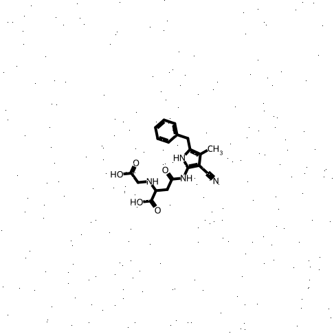 Cc1c(Cc2ccccc2)[nH]c(NC(=O)CC(NCC(=O)O)C(=O)O)c1C#N